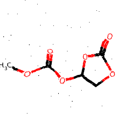 COC(=O)OC1COC(=O)O1